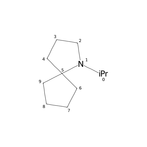 CC(C)N1CCCC12CCCC2